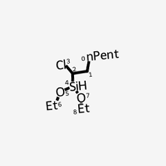 CCCCCCC(Cl)[SiH](OCC)OCC